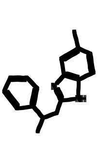 Cc1ccc2[nH]c(CC(C)c3ccccc3)nc2c1